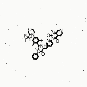 Cc1cc(N2CCOC[C@@H]2C(F)(F)F)cc(F)c1C(=O)NC(Cc1ccc(-n2c(=O)c3ccncc3n(C)c2=O)nc1)C(=O)Oc1ccccc1